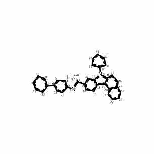 C/C(=N\c1ccc(-c2ccccc2)cc1)c1ccc2c3c4ccccc4ccc3n(-c3ccccc3)c2c1